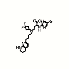 O=C(O)C(CCN(CCCCc1ccc2c(n1)NCCC2)C1CC(F)(F)C1)Nc1ncc(Br)cn1